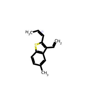 C=Cc1c(/C=C\C)sc2ccc(C)cc12